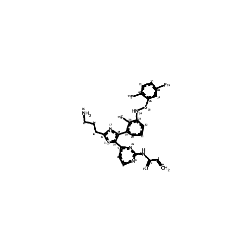 C=CC(=O)Nc1nccc(-c2sc(CCCN)nc2-c2cccc(NSc3cc(F)ccc3F)c2F)n1